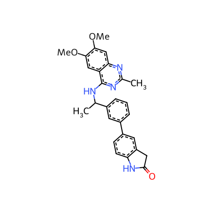 COc1cc2nc(C)nc(NC(C)c3cccc(-c4ccc5c(c4)CC(=O)N5)c3)c2cc1OC